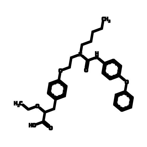 CCCCCN(CCOc1ccc(CC(OCC)C(=O)O)cc1)C(=O)Nc1ccc(Oc2ccccc2)cc1